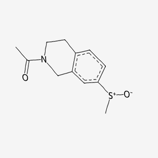 CC(=O)N1CCc2ccc([S+](C)[O-])cc2C1